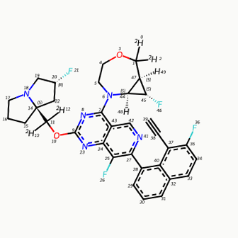 [2H]C1([2H])OCCN(c2nc(OC([2H])([2H])[C@@]34CCCN3C[C@H](F)C4)nc3c(F)c(-c4cccc5ccc(F)c(C#C)c45)ncc23)[C@@H]2[C@@H](F)[C@@H]21